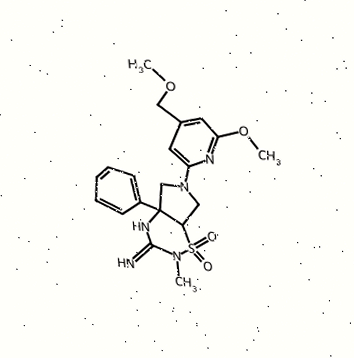 COCc1cc(OC)nc(N2CC3C(c4ccccc4)(C2)NC(=N)N(C)S3(=O)=O)c1